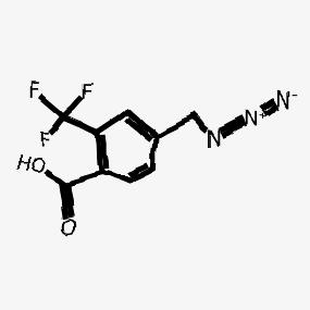 [N-]=[N+]=NCc1ccc(C(=O)O)c(C(F)(F)F)c1